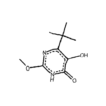 COc1nc(C(C)(C)C)c(O)c(=O)[nH]1